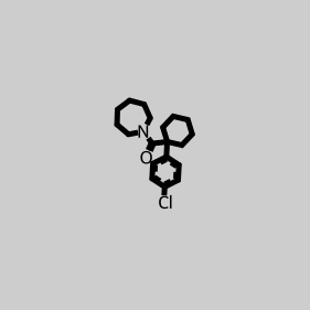 O=C(N1CCCCCC1)C1(c2ccc(Cl)cc2)CCCCC1